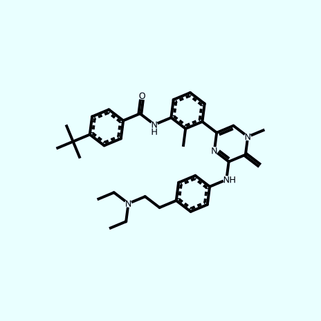 C=C1C(Nc2ccc(CCN(CC)CC)cc2)=NC(c2cccc(NC(=O)c3ccc(C(C)(C)C)cc3)c2C)=CN1C